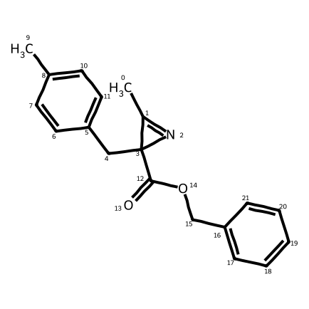 CC1=NC1(Cc1ccc(C)cc1)C(=O)OCc1ccccc1